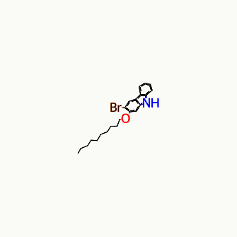 CCCCCCCCCCOc1cc2[nH]c3ccccc3c2cc1Br